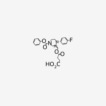 O=C(O)CCC(=O)OC[C@H]1CN(C(=O)Oc2ccccc2)CC[C@@H]1c1ccc(F)cc1